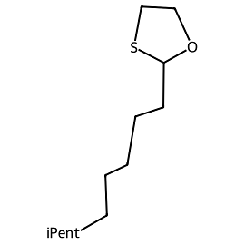 CCCC(C)CCCCCC1OCCS1